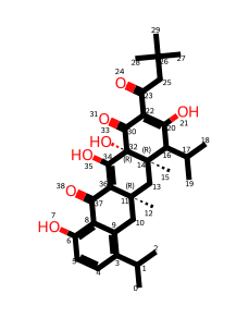 CC(C)c1ccc(O)c2c1C[C@]1(C)C[C@]3(C)C(C(C)C)C(O)=C(C(=O)CC(C)(C)C)C(=O)[C@]3(O)C(O)=C1C2=O